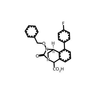 O=C(O)C1c2cccc(-c3ccc(F)cc3)c2[C@H]2CN1C(=O)N2OCc1ccccc1